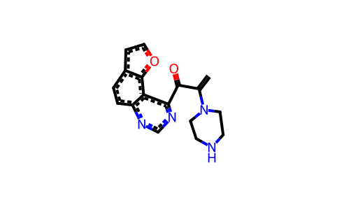 C=C(C(=O)c1ncnc2ccc3ccoc3c12)N1CCNCC1